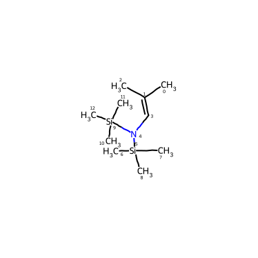 CC(C)=CN([Si](C)(C)C)[Si](C)(C)C